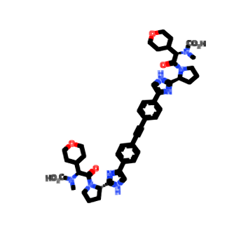 CN(C(=O)O)[C@H](C(=O)N1CCC[C@H]1c1nc(-c2ccc(C#Cc3ccc(-c4c[nH]c([C@@H]5CCCN5C(=O)[C@H](C5CCOCC5)N(C)C(=O)O)n4)cc3)cc2)c[nH]1)C1CCOCC1